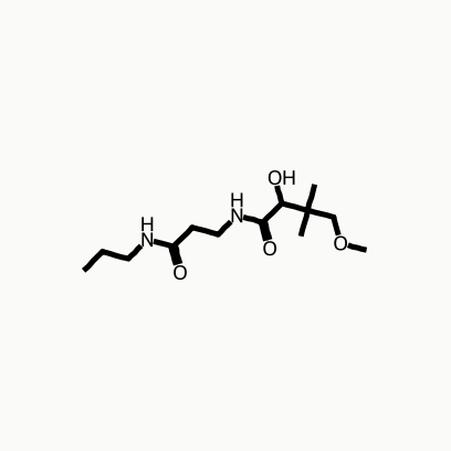 CCCNC(=O)CCNC(=O)C(O)C(C)(C)COC